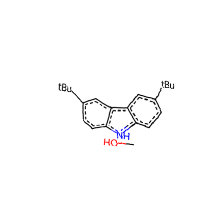 CC(C)(C)c1ccc2[nH]c3ccc(C(C)(C)C)cc3c2c1.CO